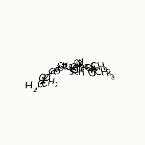 C=C(C)C(=O)OCCOC(=O)CC(C)OC(=O)CCCC([SeH])([SeH])C(=O)OC(C)CC(=O)OCCOC(=O)C(=C)C